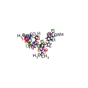 CC(C)=C1OC(=O)N(c2cc(OC3CCCC3)c(Cl)cc2F)C1=O.CC1(C)OC(c2ccco2)CN1C(=O)C(Cl)Cl.CCc1cccc(CC)c1N(COC)C(=O)CCl.C[S+](C)C.O=C(O)CNCP(=O)([O-])O